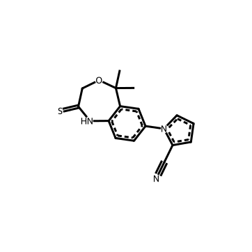 CC1(C)OCC(=S)Nc2ccc(-n3cccc3C#N)cc21